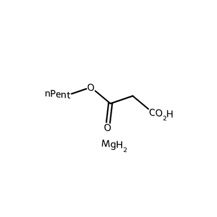 CCCCCOC(=O)CC(=O)O.[MgH2]